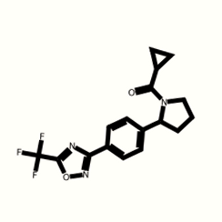 O=C(C1CC1)N1CCCC1c1ccc(-c2noc(C(F)(F)F)n2)cc1